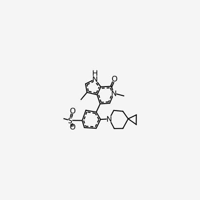 Cc1c[nH]c2c(=O)n(C)cc(-c3cc(S(C)(=O)=O)ccc3N3CCC4(CC3)CC4)c12